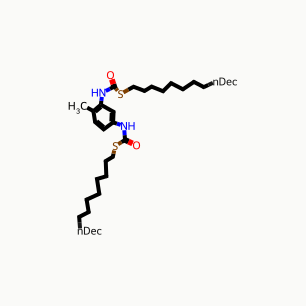 CCCCCCCCCCCCCCCCCCSC(=O)Nc1ccc(C)c(NC(=O)SCCCCCCCCCCCCCCCCCC)c1